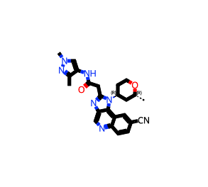 Cc1nn(C)cc1NC(=O)Cc1nc2cnc3ccc(C#N)cc3c2n1[C@@H]1CCO[C@H](C)C1